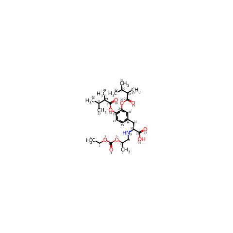 CCOC(=O)OC(C)CN[C@@H](Cc1ccc(OC(=O)C(C)C(C)C)c(OC(=O)C(C)C(C)C)c1)C(=O)O